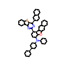 c1ccc(-c2ccc(N(c3ccccc3)c3ccc(-c4nc(-c5ccc6ccccc6c5)c5sc6ccccc6c5n4)c4c3oc3cc5ccccc5cc34)cc2)cc1